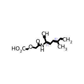 C#C/C(=C\C=C(/C)C=C)NC(=O)COCC(=O)O